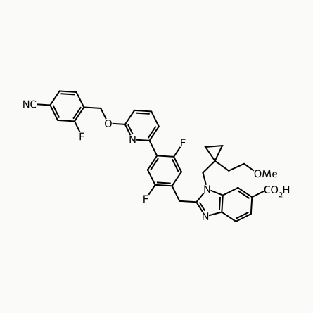 COCCC1(Cn2c(Cc3cc(F)c(-c4cccc(OCc5ccc(C#N)cc5F)n4)cc3F)nc3ccc(C(=O)O)cc32)CC1